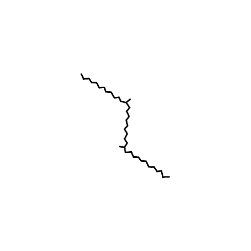 CCCCCCCCCCCCC(C)CCCCCCCCCC(C)CCCCCCCCCCCC